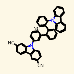 N#Cc1ccc2c(c1)c1ccc(C#N)cc1n2-c1cccc(-c2ccccc2-c2c(C#N)cccc2-n2c3ccccc3c3ccccc32)c1